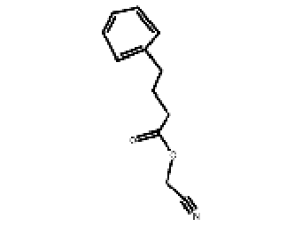 N#CCOC(=O)CCCc1ccccc1